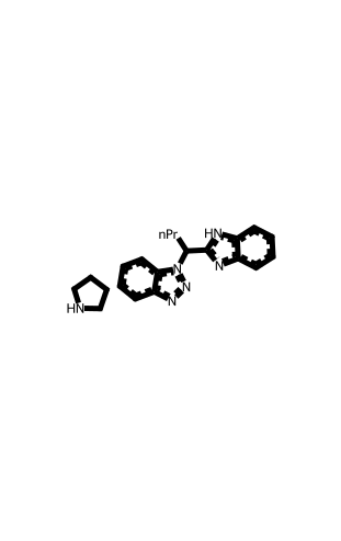 C1CCNC1.CCCC(c1nc2ccccc2[nH]1)n1nnc2ccccc21